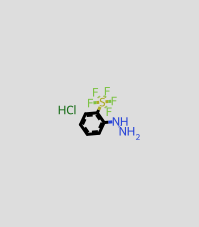 Cl.NNc1ccccc1S(F)(F)(F)(F)F